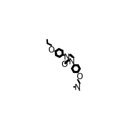 CCCOc1ccc(-n2ccn(-c3ccc(OCCN(C)C)cc3)c2=O)cc1